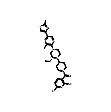 CC[C@H]1CN(c2ncc(-c3n[nH]c(C)n3)nc2C)CCN1C1CCN(C(=O)c2ccc(Cl)nc2N)CC1